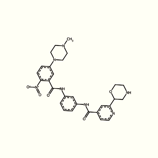 CN1CCN(c2ccc([N+](=O)[O-])c(C(=O)Nc3cccc(NC(=O)c4ccnc(C5CNCCO5)c4)c3)c2)CC1